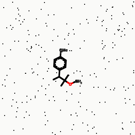 COc1ccc(C(C)C(C)(C)O[SiH3])cc1